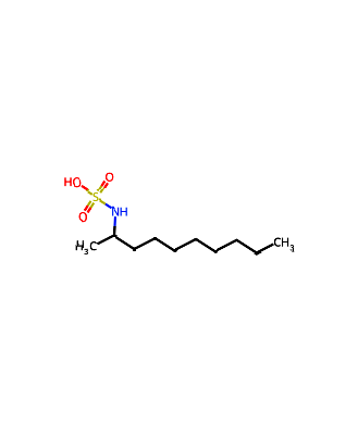 CCCCCCCCC(C)NS(=O)(=O)O